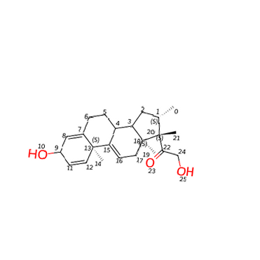 C[C@H]1CC2C3CCC4=CC(O)C=C[C@]4(C)C3=CC[C@]2(C)[C@@]1(C)C(=O)CO